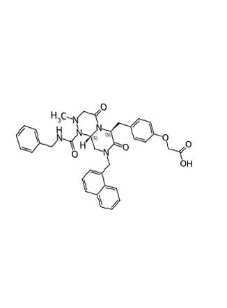 CN1CC(=O)N2[C@@H](Cc3ccc(OCC(=O)O)cc3)C(=O)N(Cc3cccc4ccccc34)C[C@@H]2N1C(=O)NCc1ccccc1